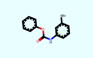 CC(C)(C)c1cccc(NC(=O)Oc2ccccc2)c1